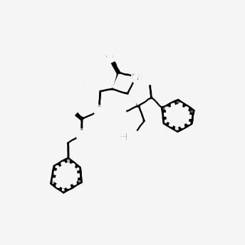 CC(c1ccccc1)C(C)(CO)[C@H]1NC(=O)[C@@H]1[C@@H](C)OC(=O)OCc1ccccc1